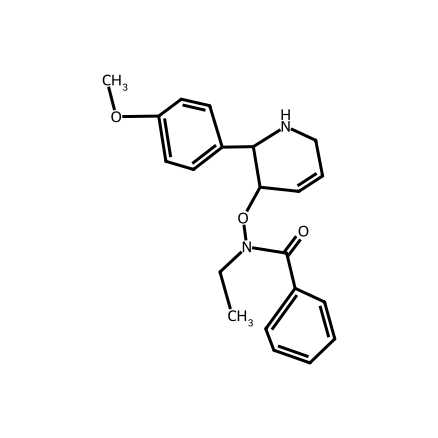 CCN(OC1C=CCNC1c1ccc(OC)cc1)C(=O)c1ccccc1